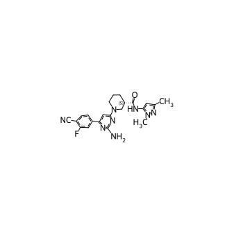 Cc1cc(NC(=O)[C@H]2CCCN(c3cc(-c4ccc(C#N)c(F)c4)nc(N)n3)C2)n(C)n1